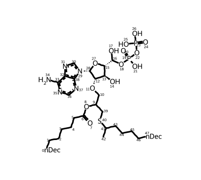 CCCCCCCCCCCCCCCC(=O)OC(CO[C@H]1[C@H](O)[C@@H](C(O)OP(=O)(O)OP(=O)(O)O)O[C@H]1n1cnc2c(N)ncnc21)CSC(C)CCCCCCCCCCCCCC